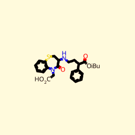 CC(C)COC(=O)C(CCNC1CSc2ccccc2N(CC(=O)O)C1=O)c1ccccc1